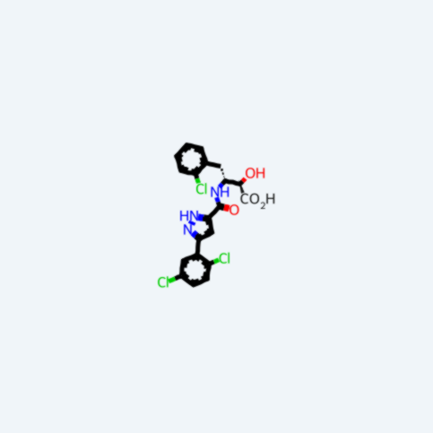 O=C(N[C@H](Cc1ccccc1Cl)[C@@H](O)C(=O)O)c1cc(-c2cc(Cl)ccc2Cl)n[nH]1